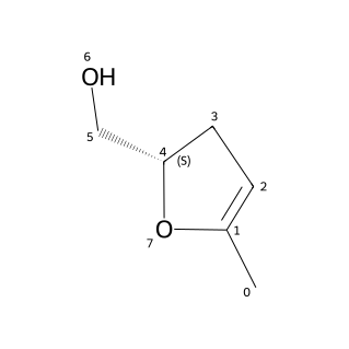 CC1=CC[C@@H](CO)O1